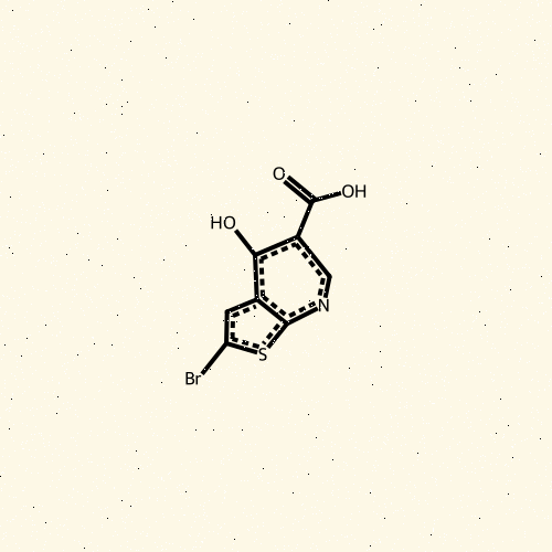 O=C(O)c1cnc2sc(Br)cc2c1O